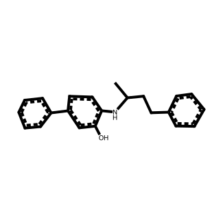 CC(CCc1ccccc1)Nc1ccc(-c2ccccc2)cc1O